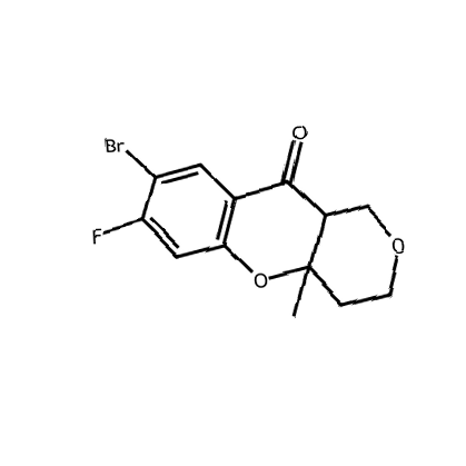 CC12CCOCC1C(=O)c1cc(Br)c(F)cc1O2